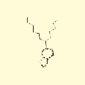 CCCCCCC(CCCCC)c1ccc2ncnn2c1